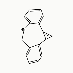 C1=C2c3ccccc3NCc3ccccc3C12